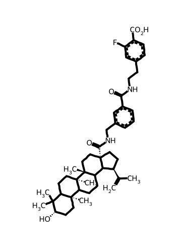 C=C(C)[C@@H]1CC[C@]2(C(=O)NCc3cccc(C(=O)NCCc4ccc(C(=O)O)c(F)c4)c3)CC[C@]3(C)C(CCC4[C@@]5(C)CC[C@H](O)C(C)(C)C5CC[C@]43C)C12